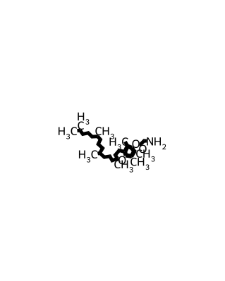 Cc1c(C)c2c(c(C)c1OC(=O)CN)CCC(C)(CCCC(C)CCCC(C)CCCC(C)C)O2